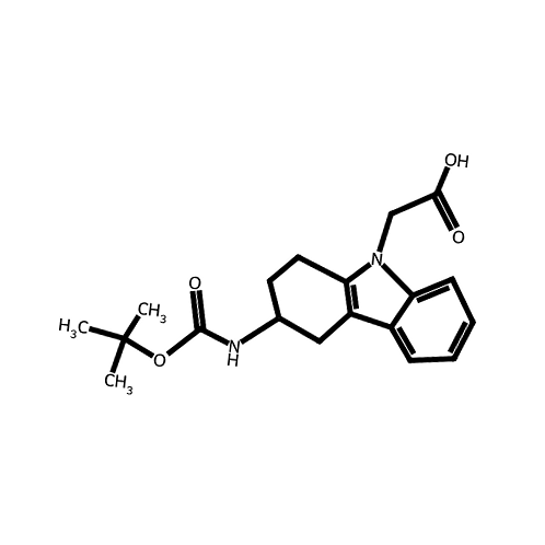 CC(C)(C)OC(=O)NC1CCc2c(c3ccccc3n2CC(=O)O)C1